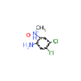 C[NH+]([O-])c1cc(Cl)c(Cl)cc1N